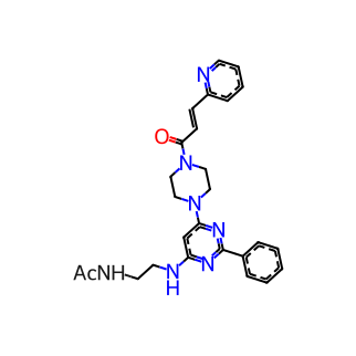 CC(=O)NCCNc1cc(N2CCN(C(=O)C=Cc3ccccn3)CC2)nc(-c2ccccc2)n1